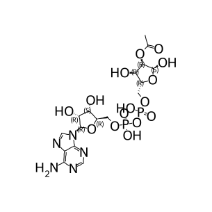 CC(=O)O[C@@H]1[C@H](O)[C@@H](COP(=O)(O)OP(=O)(O)OC[C@H]2O[C@@H](n3cnc4c(N)ncnc43)[C@H](O)[C@@H]2O)O[C@@H]1O